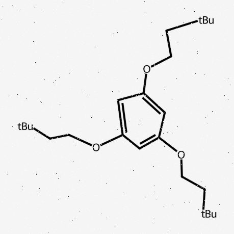 CC(C)(C)CCOc1cc(OCCC(C)(C)C)cc(OCCC(C)(C)C)c1